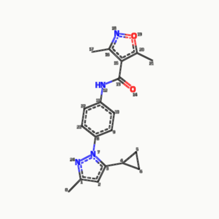 Cc1cc(C2CC2)n(-c2ccc(NC(=O)c3c(C)noc3C)cc2)n1